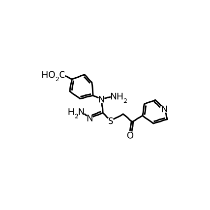 N/N=C(/SCC(=O)c1ccncc1)N(N)c1ccc(C(=O)O)cc1